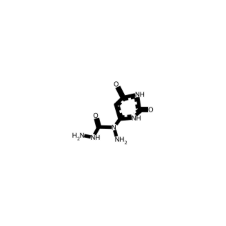 NNC(=O)N(N)c1cc(=O)[nH]c(=O)[nH]1